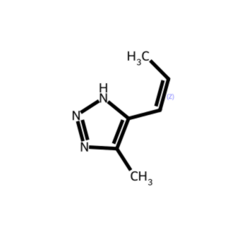 C/C=C\c1[nH]nnc1C